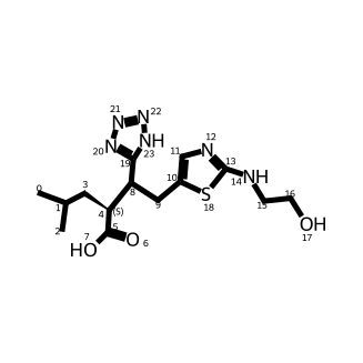 CC(C)C[C@H](C(=O)O)C(Cc1cnc(NCCO)s1)c1nnn[nH]1